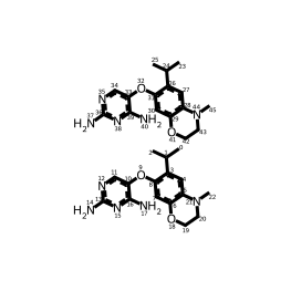 CC(C)c1cc2c(cc1Oc1cnc(N)nc1N)OCCN2C.CC(C)c1cc2c(cc1Oc1cnc(N)nc1N)OCCN2C